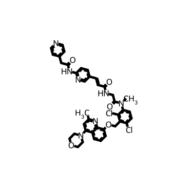 Cc1cc(N2CCOCC2)c2cccc(OCc3c(Cl)ccc(N(C)C(=O)CNC(=O)C=Cc4ccc(NC(=O)Cc5ccncc5)nc4)c3Cl)c2n1